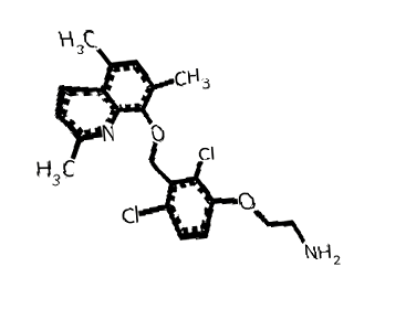 Cc1ccc2c(C)cc(C)c(OCc3c(Cl)ccc(OCCN)c3Cl)c2n1